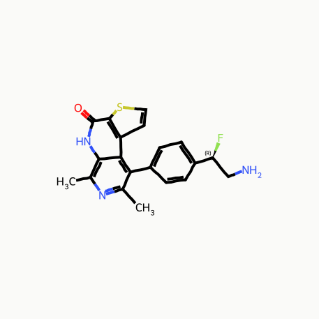 Cc1nc(C)c2[nH]c(=O)c3sccc3c2c1-c1ccc([C@@H](F)CN)cc1